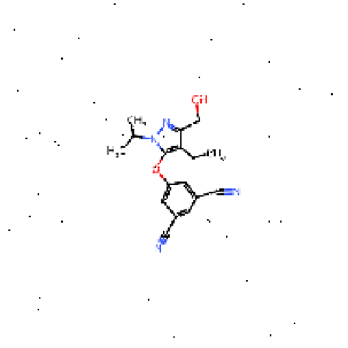 CCc1c(CO)nn(C(C)C)c1Oc1cc(C#N)cc(C#N)c1